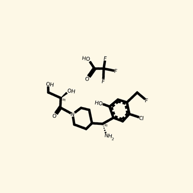 N[C@@H](c1cc(Cl)c(CF)cc1O)C1CCN(C(=O)[C@H](O)CO)CC1.O=C(O)C(F)(F)F